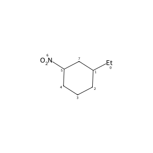 CCC1CCCC([N+](=O)[O-])C1